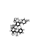 COc1cc(N2CCNCC2)ccc1Nc1ncc(Cl)c(Nc2[c]cccc2)n1